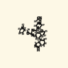 Cc1ccc2[nH]ncc2c1-c1cc2nc(OC[C@@H]3CCCN3C)nc(N3CCN[C@@H](CC#N)C3)c2c2occc12